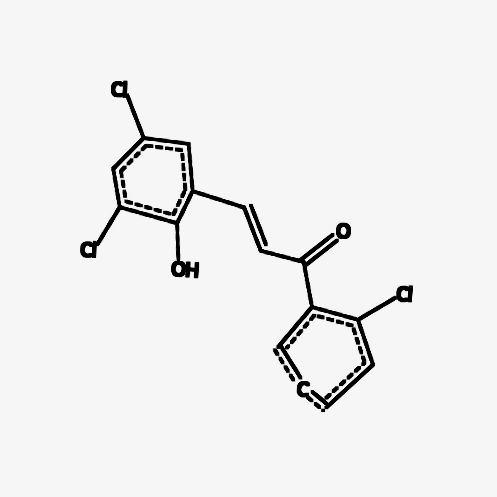 O=C(/C=C/c1cc(Cl)cc(Cl)c1O)c1ccccc1Cl